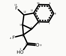 O=C(O)C1(F)C2c3ccccc3C(F)C21